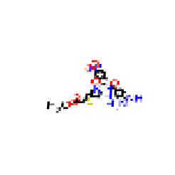 CCOC(=O)Cc1cc2c(s1)CCN(C(=O)[C@H](Cc1ccc([N+](=O)[O-])cc1)NC(=O)c1ccc(C(=N)N)cc1)C2